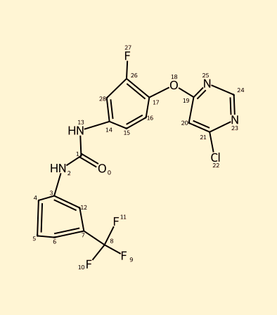 O=C(Nc1cccc(C(F)(F)F)c1)Nc1ccc(Oc2cc(Cl)ncn2)c(F)c1